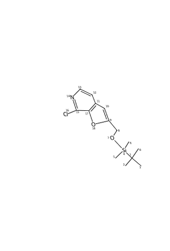 CC(C)(C)[Si](C)(C)OCc1cc2ccnc(Cl)c2o1